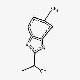 CC(O)c1nc2cc(C(F)(F)F)ccc2s1